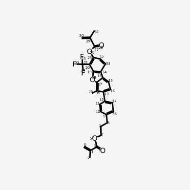 C=C(C)C(=O)OCCCc1ccc(-c2ccc3c(oc4c(C(F)(F)F)c(OC(=O)C(=C)C)ccc43)c2C)cc1